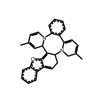 CC1=CC2C3=c4oc5ccccc5c4=CCC3N3CC(C)=CC=C3c3ccccc3N2C=C1